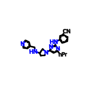 CCCc1cc(N2CCC(NCc3ccncc3)C2)nc(Nc2cccc(C#N)c2)n1